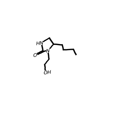 CCCCC1CNC(=O)N1CCO